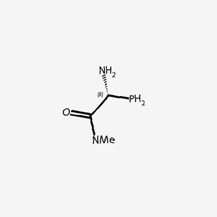 CNC(=O)[C@H](N)P